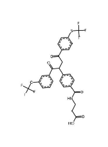 O=C(O)CCNC(=O)c1ccc(C(CC(=O)c2ccc(SC(F)(F)F)cc2)C(=O)c2cccc(OC(F)(F)F)c2)cc1